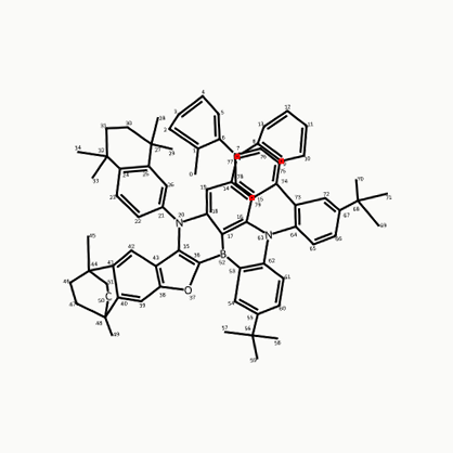 Cc1ccccc1N(c1ccccc1)c1cc2c3c(c1)N(c1ccc4c(c1)C(C)(C)CCC4(C)C)c1c(oc4cc5c(cc14)C1(C)CCC5(C)CC1)B3c1cc(C(C)(C)C)ccc1N2c1ccc(C(C)(C)C)cc1-c1ccccc1